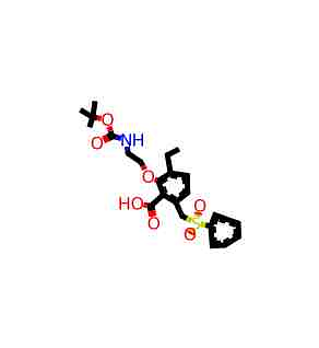 CCc1ccc(CS(=O)(=O)c2ccccc2)c(C(=O)O)c1OCCNC(=O)OC(C)(C)C